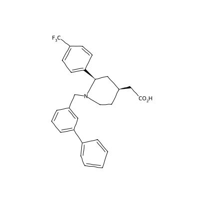 O=C(O)C[C@H]1CCN(Cc2cccc(-c3ccccc3)c2)[C@@H](c2ccc(C(F)(F)F)cc2)C1